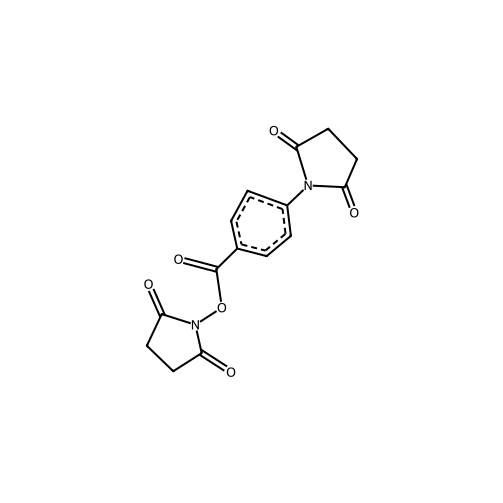 O=C(ON1C(=O)CCC1=O)c1ccc(N2C(=O)CCC2=O)cc1